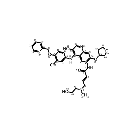 CN(C/C=C/C(=O)Nc1cc2c(Nc3ccc(OCc4ccccn4)c(Cl)c3)c(C#N)cnc2cc1O[C@H]1CCOC1)CCO